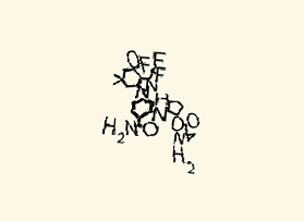 CC1(C)CC(=O)c2c(C(F)(F)F)nn(-c3ccc(C(N)=O)c(NC4CCCC4OC(=O)C4(N)CC4)c3)c2C1